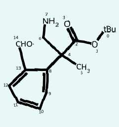 CC(C)(C)OC(=O)C(C)(CN)c1ccccc1[C]=O